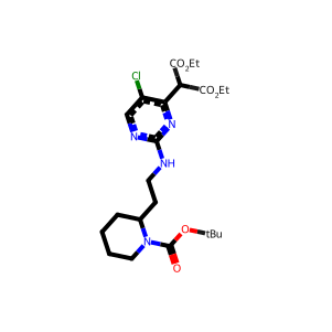 CCOC(=O)C(C(=O)OCC)c1nc(NCCC2CCCCN2C(=O)OC(C)(C)C)ncc1Cl